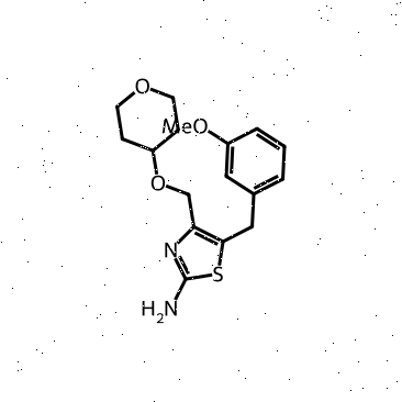 COc1cccc(Cc2sc(N)nc2COC2CCOCC2)c1